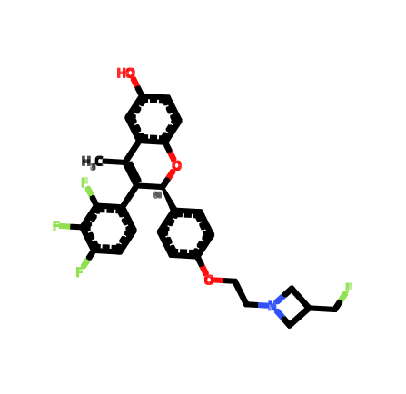 CC1=C(c2ccc(F)c(F)c2F)[C@H](c2ccc(OCCN3CC(CF)C3)cc2)Oc2ccc(O)cc21